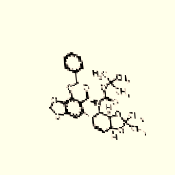 CC(C)(C)OC(=O)N[C@H]1[C@@H]2OC(C)(C)O[C@@H]2C=C[C@@H]1c1cc2c(c(OCc3ccccc3)c1C=O)OCO2